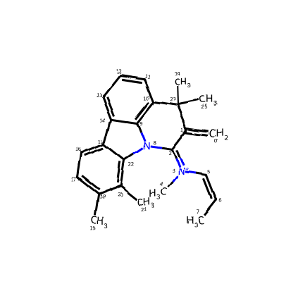 C=C1/C(=[N+](C)\C=C/C)n2c3c(cccc3c3ccc(C)c(C)c32)C1(C)C